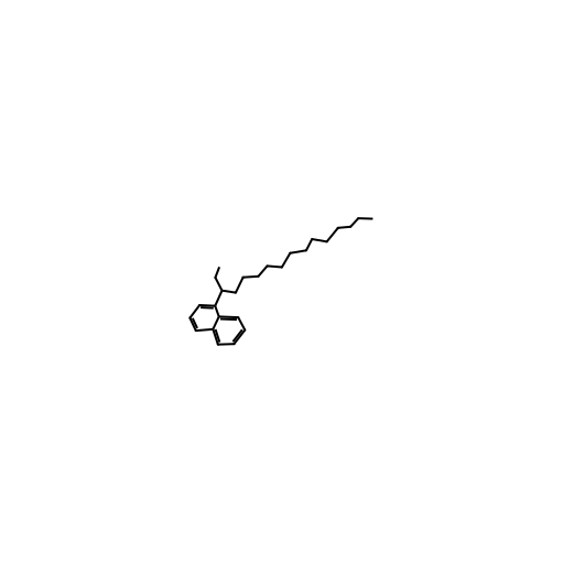 CCCCCCCCCCCCCC(CC)c1cccc2ccccc12